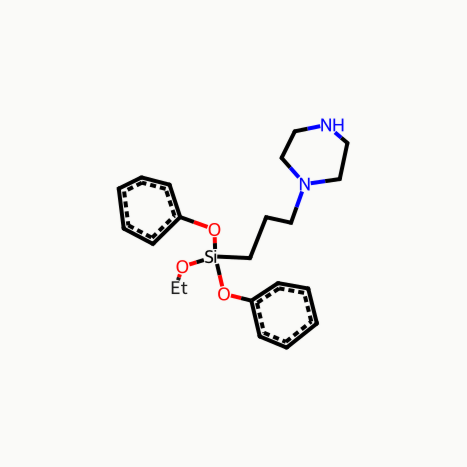 CCO[Si](CCCN1CCNCC1)(Oc1ccccc1)Oc1ccccc1